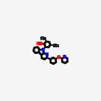 CC(C)(C)c1cc(-n2c3ccccc3c3ccc(-c4cccc(Oc5ccccn5)c4)nc32)c(O)c(C(C)(C)C)c1